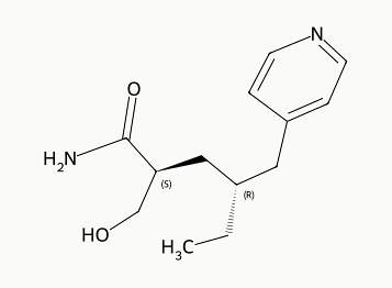 CC[C@@H](Cc1ccncc1)C[C@@H](CO)C(N)=O